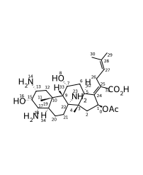 CC(=O)O[C@H]1C[C@@]2(C)[C@@H](C[C@@H](O)[C@H]3[C@@]4(C)C[C@@H](N)[C@@H](O)[C@@H](N)[C@@H]4CC[C@@]32N)/C1=C(\CC=C(C)C)C(=O)O